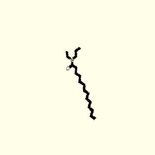 CCCCCCCCCCCCCC(=O)N(CC)CCC